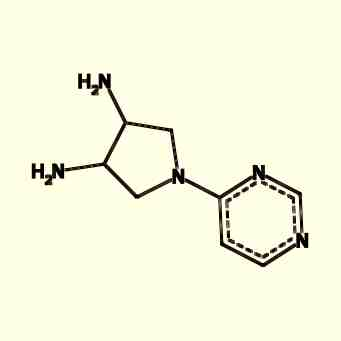 NC1CN(c2ccncn2)CC1N